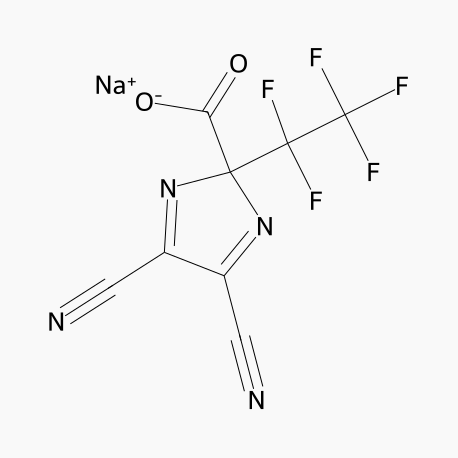 N#CC1=NC(C(=O)[O-])(C(F)(F)C(F)(F)F)N=C1C#N.[Na+]